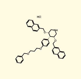 Cl.c1ccc(COCCCOc2ccc([C@H]3[C@@H](OCc4ccc5ccccc5c4)CNC[C@H]3OCc3ccc4ccccc4c3)cc2)cc1